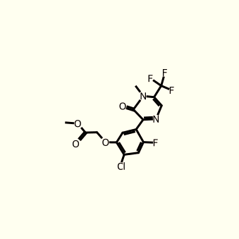 COC(=O)COc1cc(-c2ncc(C(F)(F)F)n(C)c2=O)c(F)cc1Cl